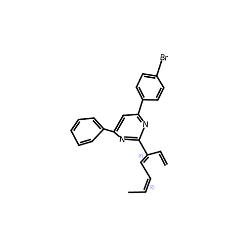 C=C/C(=C\C=C/C)c1nc(-c2ccccc2)cc(-c2ccc(Br)cc2)n1